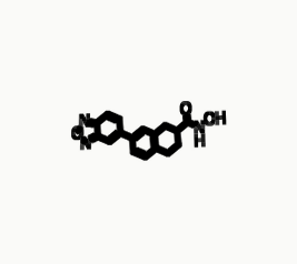 O=C(NO)C1CCc2ccc(-c3ccc4nonc4c3)cc2C1